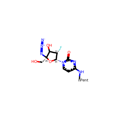 CCCCCNc1ccn([C@@H]2O[C@@](CO)(N=[N+]=[N-])C(O)[C@@H]2F)c(=O)n1